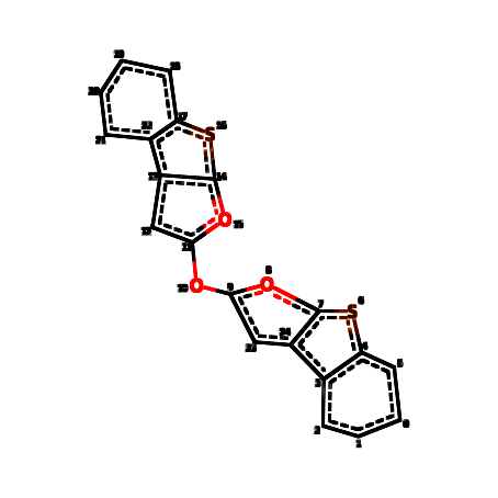 c1ccc2c(c1)sc1oc(Oc3cc4c(o3)sc3ccccc34)cc12